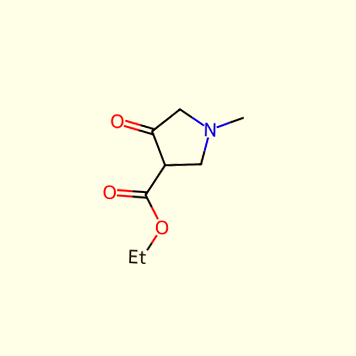 CCOC(=O)C1CN(C)CC1=O